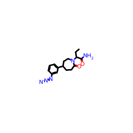 CCC(C(N)=O)N1CCC(c2cccc(N=[N+]=[N-])c2)CCC1=O